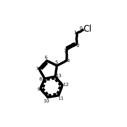 ClCC=CCC1[C]=Cc2ccccc21